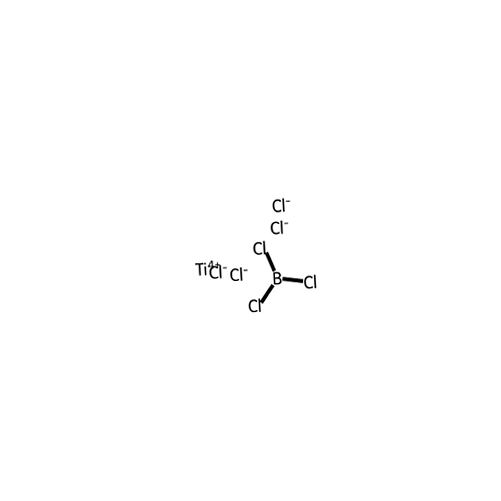 ClB(Cl)Cl.[Cl-].[Cl-].[Cl-].[Cl-].[Ti+4]